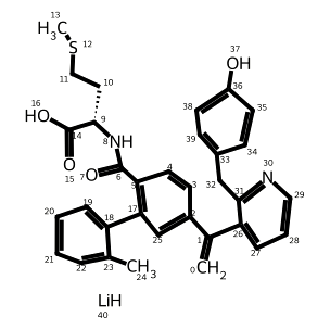 C=C(c1ccc(C(=O)N[C@@H](CCSC)C(=O)O)c(-c2ccccc2C)c1)c1cccnc1Cc1ccc(O)cc1.[LiH]